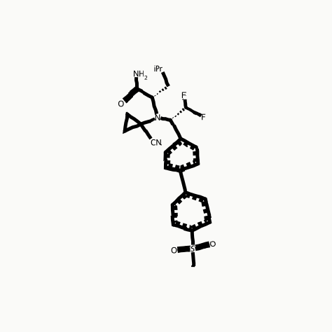 CC(C)C[C@@H](C(N)=O)N([C@@H](c1ccc(-c2ccc(S(C)(=O)=O)cc2)cc1)C(F)F)C1(C#N)CC1